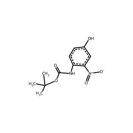 CC(C)(C)OC(=O)Nc1ccc(O)cc1[N+](=O)[O-]